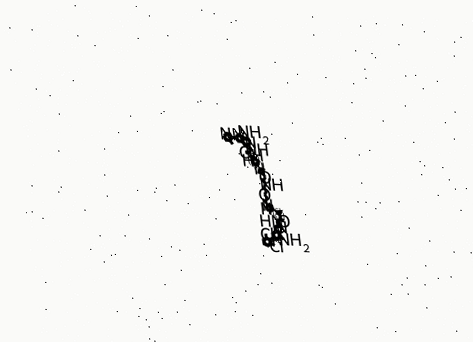 Cc1ccncc1-c1cc2cc(NC(=O)[C@H]3[C@@H]4C[C@H](N5CC(OCNCCOCCn6cc([C@H]7C[C@@H]7C(=O)Nc7cc8cc(-c9c(Cl)cccc9Cl)nc(N)c8cn7)cn6)C5)C[C@@H]43)ncc2c(N)n1